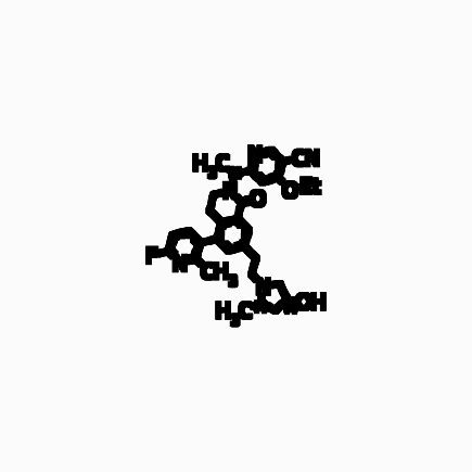 CCOc1cc([C@H](C)N2CCc3c(cc(CCN4C[C@@H](O)C[C@H]4C)cc3-c3ccc(F)nc3C)C2=O)ncc1C#N